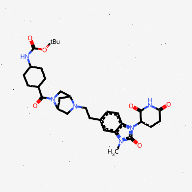 Cn1c(=O)n(C2CCC(=O)NC2=O)c2ccc(CCN3CC4CC3CN4C(=O)C3CCC(NC(=O)OC(C)(C)C)CC3)cc21